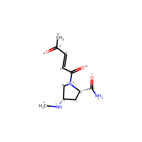 CN[C@H]1C[C@@H](C(N)=O)N(C(=O)/C=C/C(C)=O)C1